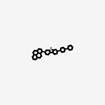 c1ccc(-c2ccc(-c3ccc4c(c3)sc3cc(-c5ccc6ccc7cccc8ccc5c6c78)ccc34)cc2)cc1